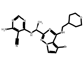 C[C@H](Nc1ncnc(N)c1C#N)c1nc(NCC2CCOCC2)c2c(Br)ccn2n1